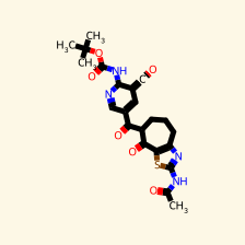 CC(=O)Nc1nc2c(s1)C(=O)C(C(=O)C1=CC(=C=O)C(NC(=O)OC(C)(C)C)N=C1)CCC2